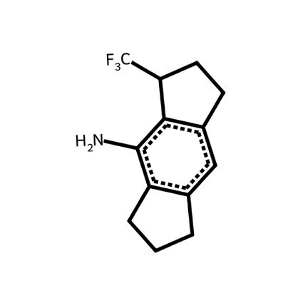 Nc1c2c(cc3c1C(C(F)(F)F)CC3)CCC2